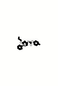 CCCOc1cc(=NC(=O)Oc2ccc(C)cc2)cnn1-c1ccccc1